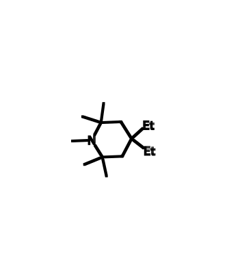 CCC1(CC)CC(C)(C)N(C)C(C)(C)C1